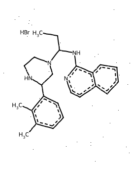 Br.CCC(Nc1nccc2ccccc12)N1CCNC(c2cccc(C)c2C)C1